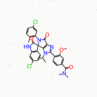 COc1cc(C(=O)N(C)C)ccc1-c1nc2c(n1C(C)C)C1(C(=O)Nc3cc(Cl)ccc31)N(c1cc(Cl)ccc1C)C2=O